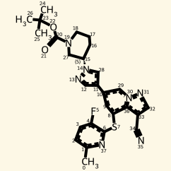 Cc1ccc(F)c(Sc2cc(-c3cnn([C@H]4CCCN(C(=O)OC(C)(C)C)C4)c3)cn3ncc(C#N)c23)n1